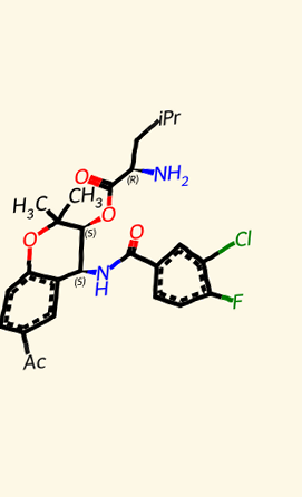 CC(=O)c1ccc2c(c1)[C@H](NC(=O)c1ccc(F)c(Cl)c1)[C@H](OC(=O)[C@H](N)CC(C)C)C(C)(C)O2